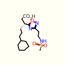 CS(=O)(=O)NCCc1noc([C@H](CCCC2CCCCC2)CC(=O)O)n1